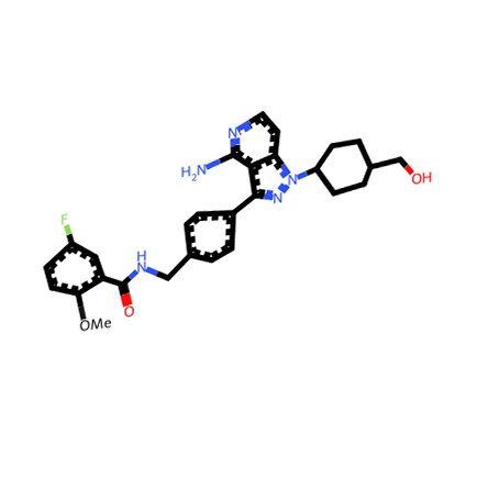 COc1ccc(F)cc1C(=O)NCc1ccc(-c2nn(C3CCC(CO)CC3)c3ccnc(N)c23)cc1